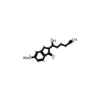 C#CCCCC(O)C1Cc2cc(OC)ccc2C1=O